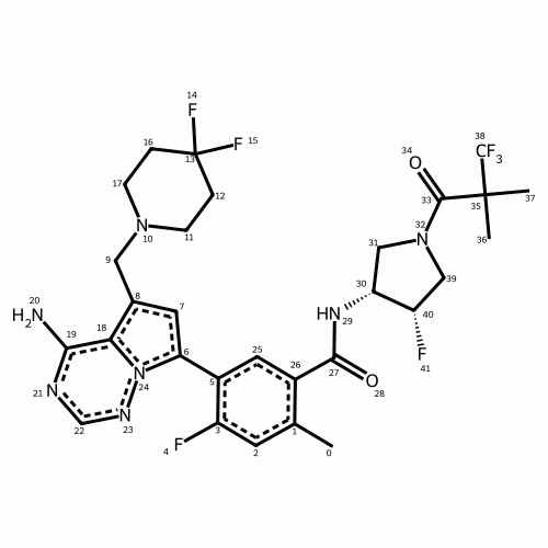 Cc1cc(F)c(-c2cc(CN3CCC(F)(F)CC3)c3c(N)ncnn23)cc1C(=O)N[C@@H]1CN(C(=O)C(C)(C)C(F)(F)F)C[C@@H]1F